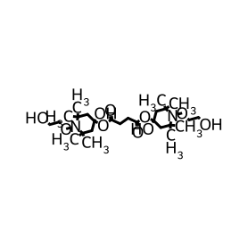 CC1(C)CC(O)(OC(=O)CCC(=O)OC2(O)CC(C)(C)N(OCCO)C(C)(C)C2)CC(C)(C)N1OCCO